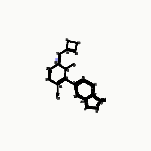 CN1C(c2ccc3[nH]ncc3c2)=C(F)C=C/C1=C/C1=CCC1